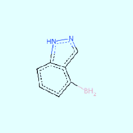 Bc1cccc2[nH]ncc12